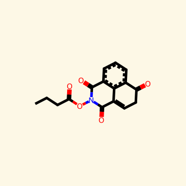 CCCC(=O)ON1C(=O)C2=CCC(=O)c3cccc(c32)C1=O